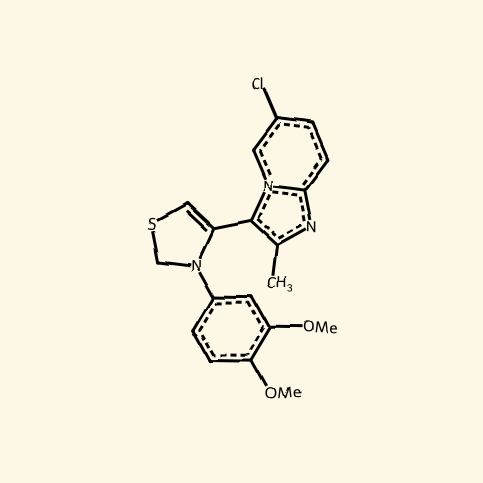 COc1ccc(N2CSC=C2c2c(C)nc3ccc(Cl)cn23)cc1OC